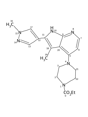 CCOC(=O)N1CCN(c2ccnc3[nH]c(-c4cnn(C)c4)c(C)c23)CC1